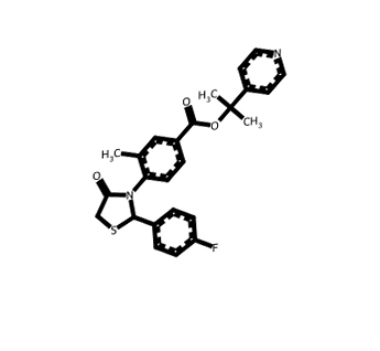 Cc1cc(C(=O)OC(C)(C)c2ccncc2)ccc1N1C(=O)CSC1c1ccc(F)cc1